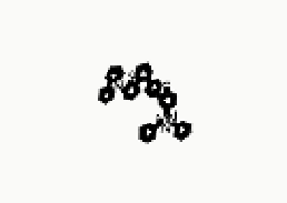 c1ccc(-c2nc(-c3ccccc3)nc(-c3ccc4sc5cc(-c6cccc7sc8c(-n9c%10ccccc%10c%10ccccc%109)cccc8c67)ccc5c4c3)n2)cc1